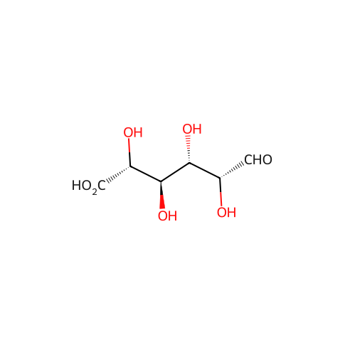 O=C[C@H](O)[C@@H](O)[C@@H](O)[C@@H](O)C(=O)O